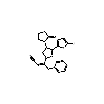 N#CN=C(Oc1ccccc1)N1CC(N2CCCC2=O)C(c2ccc(Cl)s2)=N1